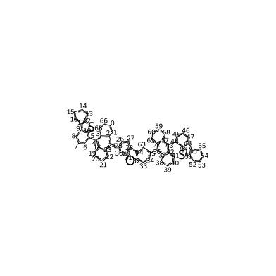 C1=Cc2c(c(-c3cccc4c3sc3ccccc34)c3ccccc3c2-c2ccc3c(c2)oc2ccc(-c4c5ccccc5c(-c5cccc6c5sc5ccccc56)c5ccccc45)cc23)CC1